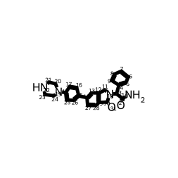 NC(=O)C(c1ccccc1)N1Cc2cc(-c3ccc(N4CCNCC4)cc3)ccc2C1=O